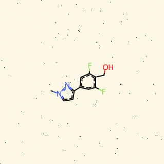 Cn1ccc(-c2cc(F)c(CO)c(F)c2)n1